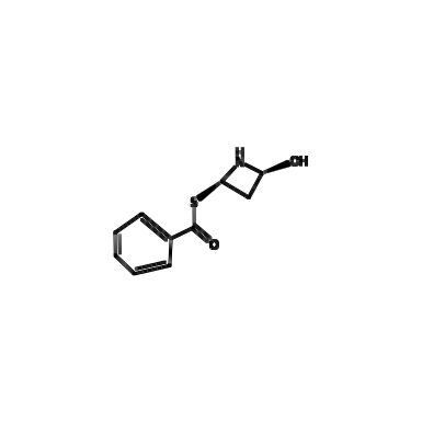 O=C(S[C@@H]1C[C@H](O)N1)c1ccccc1